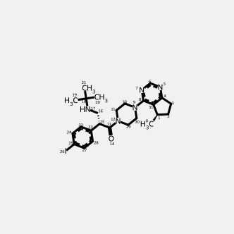 C[C@@H]1CCc2ncnc(N3CCN(C(=O)[C@@H](CNC(C)(C)C)c4ccc(I)cc4)CC3)c21